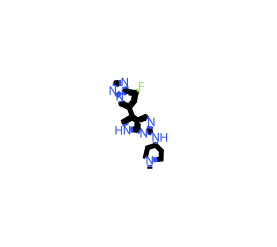 CN1CCC(Nc2ncc3c(-c4cc(F)c5ncnn5c4)c[nH]c3n2)CC1